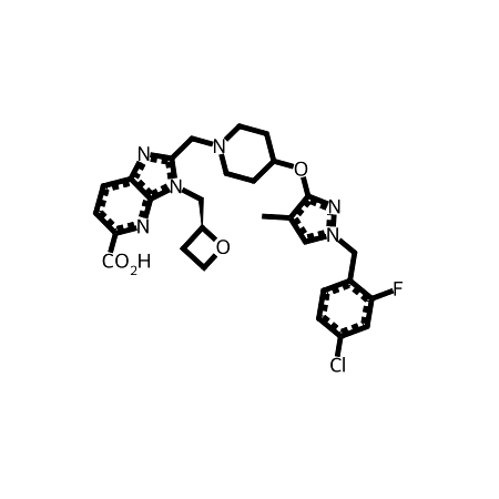 Cc1cn(Cc2ccc(Cl)cc2F)nc1OC1CCN(Cc2nc3ccc(C(=O)O)nc3n2C[C@@H]2CCO2)CC1